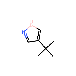 CC(C)(C)C1=CBN=C1